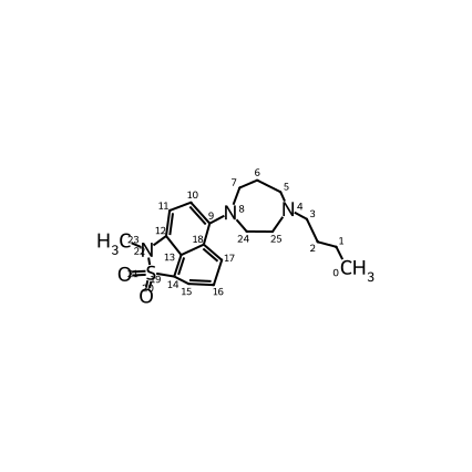 CCCCN1CCCN(c2ccc3c4c(cccc24)S(=O)(=O)N3C)CC1